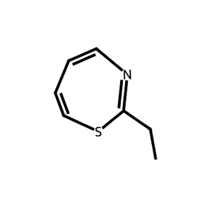 CCC1=NC=CC=CS1